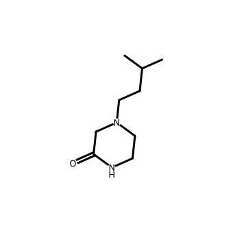 CC(C)CCN1CCNC(=O)C1